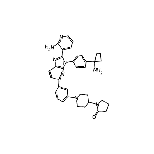 Nc1ncccc1-c1nc2ccc(-c3cccc(N4CCC(N5CCCC5=O)CC4)c3)nc2n1-c1ccc(C2(N)CCC2)cc1